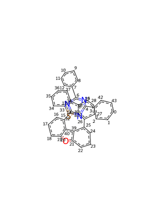 c1ccc(-c2nc(-c3ccccc3)nc(-c3cccc4oc5cccc(-c6cccc7c6sc6ccccc67)c5c34)n2)cc1